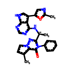 Cc1ncc(-c2c[nH]c3ncnc(N[C@@H](C)c4nn5ccc(C)c5c(=O)n4-c4ccccc4)c23)o1